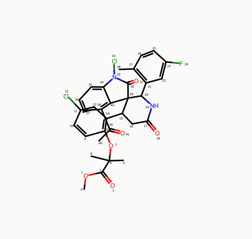 COC(=O)C(C)(C)Oc1ccc(Cl)cc1C1CC(=O)NC(c2cc(F)ccc2C)C12C(=O)N(Cl)c1cccc(C(C)=O)c12